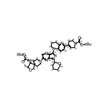 C[C@@H]1OCC2(CCN(c3cnc4c(N5CCCc6nc(C7=CCN(C(=O)OC(C)(C)C)CC7)ccc65)nn(C5CCCCO5)c4n3)CC2)[C@@H]1NC(=O)OC(C)(C)C